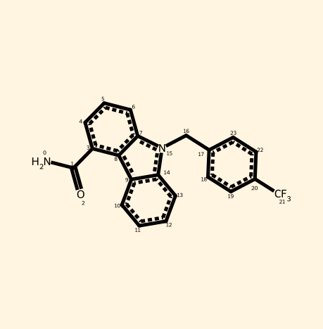 NC(=O)c1cccc2c1c1[c]cccc1n2Cc1ccc(C(F)(F)F)cc1